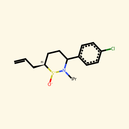 C=CC[C@H]1CCC(c2ccc(Cl)cc2)N(C(C)C)[S+]1[O-]